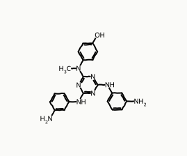 CN(c1ccc(O)cc1)c1nc(Nc2cccc(N)c2)nc(Nc2cccc(N)c2)n1